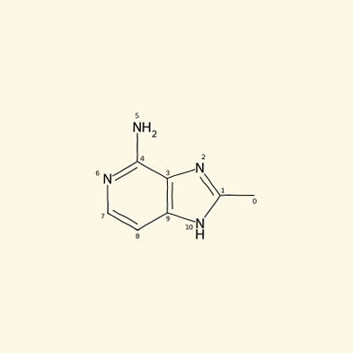 Cc1nc2c(N)nccc2[nH]1